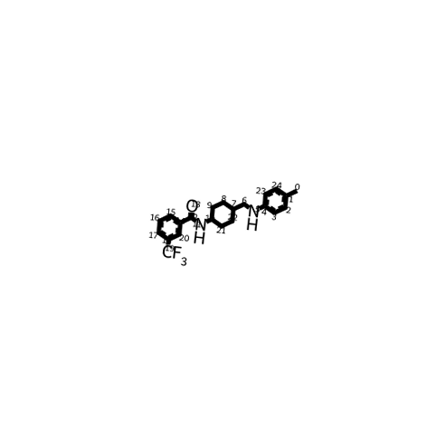 Cc1ccc(NCC2CCC(NC(=O)c3cccc(C(F)(F)F)c3)CC2)cc1